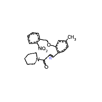 Cc1ccc(/C=C/C(=O)N2CCCCC2)c(OCc2ccccc2[N+](=O)[O-])c1